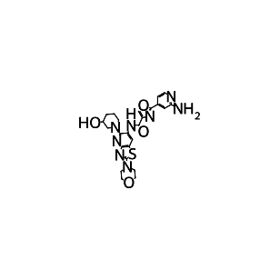 Nc1cc(-c2nc(C(=O)Nc3cc4sc(N5CCOCC5)nc4nc3N3CCCC(O)C3)co2)ccn1